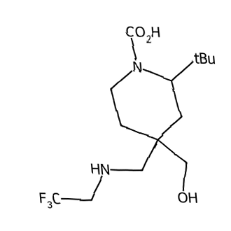 CC(C)(C)C1CC(CO)(CNCC(F)(F)F)CCN1C(=O)O